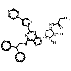 CCC(=O)N[C@H]1C[C@@H](n2cnc3c(NCC(c4ccccc4)c4ccccc4)nc(-n4cc(-c5ccncc5)cn4)nc32)[C@H](O)[C@@H]1O